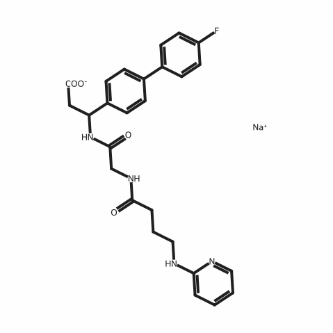 O=C([O-])CC(NC(=O)CNC(=O)CCCNc1ccccn1)c1ccc(-c2ccc(F)cc2)cc1.[Na+]